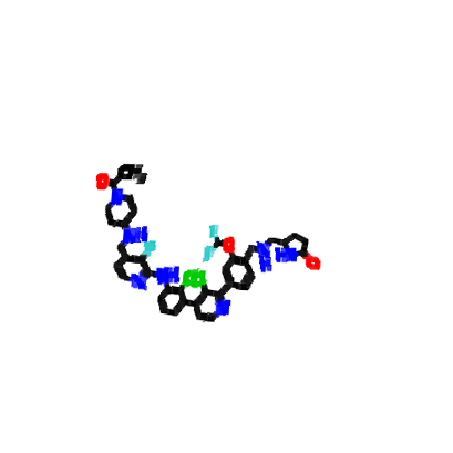 CC(=O)N1CCC(NCc2ccnc(Nc3cccc(-c4ccnc(-c5ccc(CNCC6CCC(=O)N6)c(OC(F)F)c5)c4Cl)c3Cl)c2F)CC1